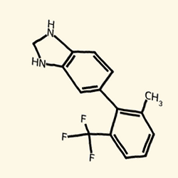 Cc1cccc(C(F)(F)F)c1-c1ccc2c(c1)NCN2